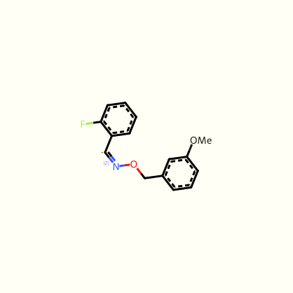 COc1cccc(CO/N=[C]\c2ccccc2F)c1